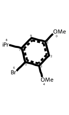 COc1cc(OC)c(Br)c(C(C)C)c1